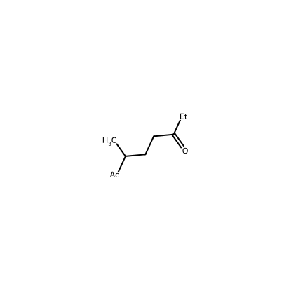 CCC(=O)CCC(C)C(C)=O